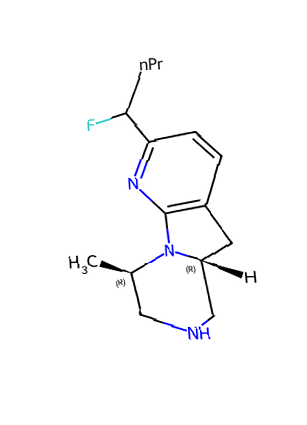 CCCC(F)c1ccc2c(n1)N1[C@@H](CNC[C@H]1C)C2